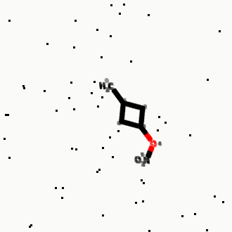 CC1CC(O[N+](=O)[O-])C1